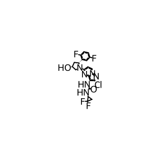 O=C(Nc1c(Cl)nn2ccc(N3C[C@H](O)C[C@@H]3c3cc(F)ccc3F)nc12)NC1CC1(F)F